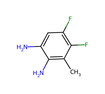 Cc1c(N)c(N)cc(F)c1F